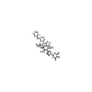 NC(=O)C(c1cccc(Oc2ccccc2)c1)[C@H]1CCO[C@]12O[C@H](CO)[C@H](O)[C@H](n1cc(-c3cc(F)c(F)c(F)c3)nn1)[C@H]2O